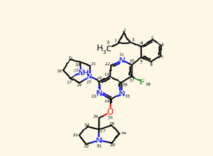 CC1CC1c1ccccc1-c1ncc2c(N3CC4CCC(C3)N4)nc(OCC34CCCN3CCC4)nc2c1F